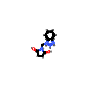 O=C1CCC(=O)N1Cn1nnc2ccccc21